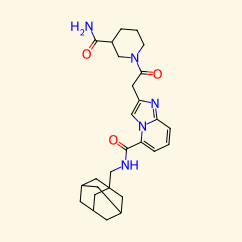 NC(=O)C1CCCN(C(=O)Cc2cn3c(C(=O)NCC45CC6CC(CC(C6)C4)C5)cccc3n2)C1